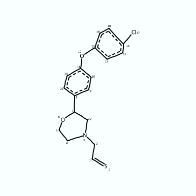 S=CCN1CCOC(c2ccc(Oc3ccc(Cl)cc3)cc2)C1